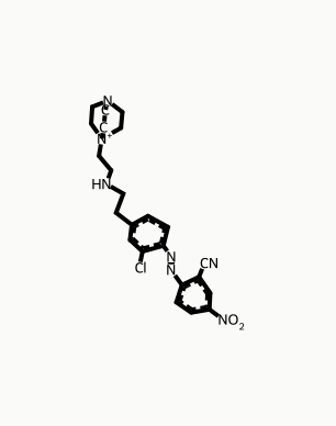 N#Cc1cc([N+](=O)[O-])ccc1N=Nc1ccc(CCNCC[N+]23CCN(CC2)CC3)cc1Cl